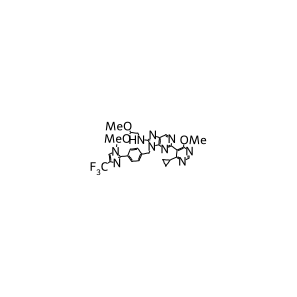 COc1ncnc(C2CC2)c1-c1ncc2nc(NCC(OC)OC)n(Cc3ccc(-c4nc(C(F)(F)F)cn4C)cc3)c2n1